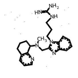 CN(Cc1nc2ccccc2n1CCCNC(=N)N)C1CCCc2cccnc21